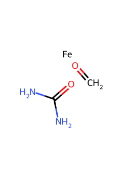 C=O.NC(N)=O.[Fe]